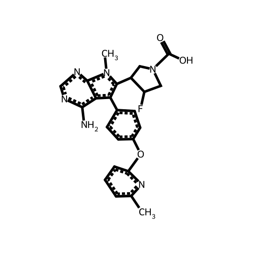 Cc1cccc(Oc2ccc(-c3c(C4CN(C(=O)O)CC4F)n(C)c4ncnc(N)c34)cc2)n1